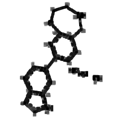 Cl.Cl.Cl.c1cc2ccc(-c3ccc4c(n3)OCCNC4)cc2[nH]1